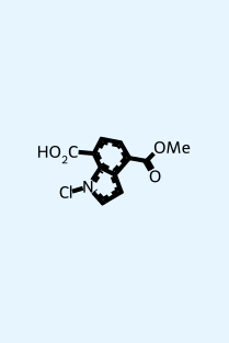 COC(=O)c1ccc(C(=O)O)c2c1ccn2Cl